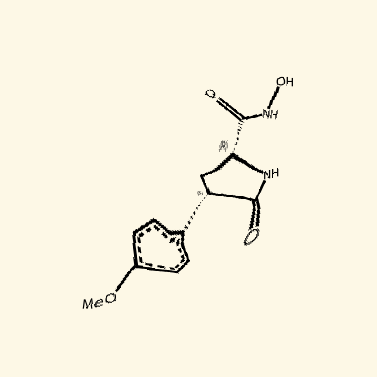 COc1ccc([C@@H]2C[C@H](C(=O)NO)NC2=O)cc1